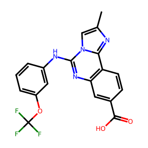 Cc1cn2c(Nc3cccc(OC(F)(F)F)c3)nc3cc(C(=O)O)ccc3c2n1